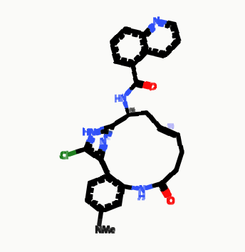 CNc1ccc2c(c1)NC(=O)CC/C=C/C[C@H](NC(=O)c1cccc3ncccc13)c1nc-2c(Cl)[nH]1